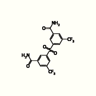 NC(=O)c1cc(C(F)(F)F)cc(S(=O)(=O)c2cc(C(N)=O)cc(C(F)(F)F)c2)c1